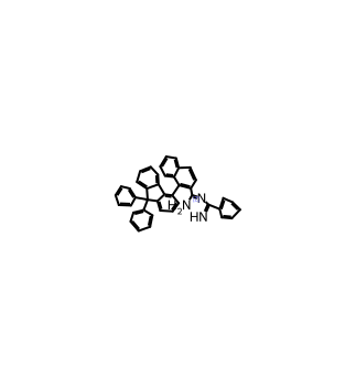 N=C(/N=C(\N)c1ccc2ccccc2c1-c1cccc2c1-c1ccccc1C2(c1ccccc1)c1ccccc1)c1ccccc1